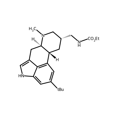 CCOC(=O)NC[C@@H]1C[C@@H]2c3cc(C(C)(C)C)cc4[nH]cc(c34)C[C@H]2N(C)C1